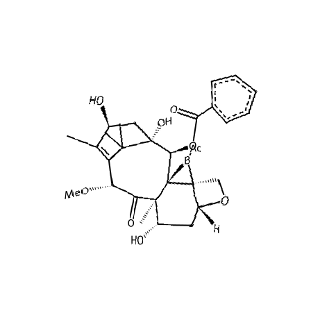 CO[C@H]1C(=O)[C@]2(C)[C@@H](O)C[C@H]3OC[C@]34B(C(C)=O)[C@@]42[C@H](OC(=O)c2ccccc2)[C@]2(O)C[C@H](O)C(C)=C1C2(C)C